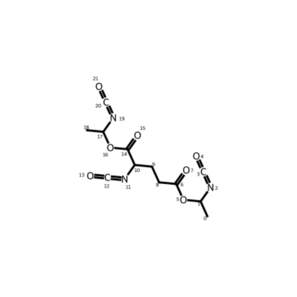 CC(N=C=O)OC(=O)CCC(N=C=O)C(=O)OC(C)N=C=O